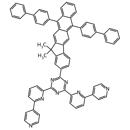 CC1(C)c2cc(-c3nc(-c4cccc(-c5ccncc5)n4)nc(-c4cccc(-c5ccncc5)n4)n3)ccc2-c2cc3c(-c4ccc(-c5ccccc5)cc4)c4ccccc4c(-c4ccc(-c5ccccc5)cc4)c3cc21